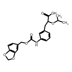 CC(C)OC(Cc1cccc(NC(=O)OCc2ccc3c(c2)OCO3)c1)C(=O)O